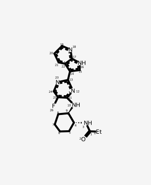 CCC(=O)N[C@@H]1CCCC[C@H]1Nc1nc(-c2c[nH]c3ncccc23)ncc1F